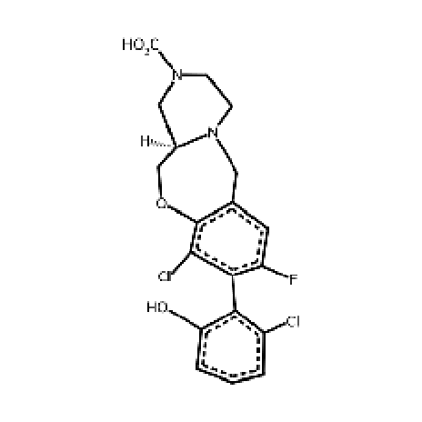 O=C(O)N1CCN2Cc3cc(F)c(-c4c(O)cccc4Cl)c(Cl)c3OC[C@H]2C1